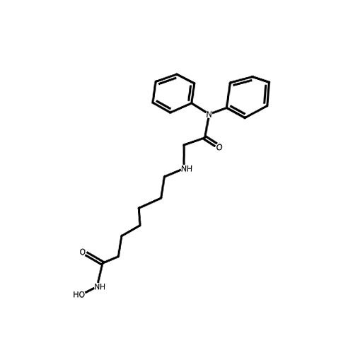 O=C(CCCCCCNCC(=O)N(c1ccccc1)c1ccccc1)NO